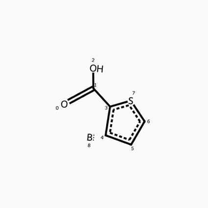 O=C(O)c1cccs1.[B]